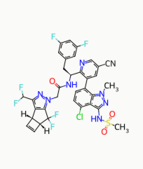 Cn1nc(NS(C)(=O)=O)c2c(Cl)ccc(-c3cc(C#N)cnc3[C@H](Cc3cc(F)cc(F)c3)NC(=O)Cn3nc(C(F)F)c4c3C(F)(F)[C@@H]3C=C[C@H]43)c21